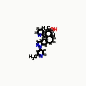 Cc1cc(-n2ncc3cc4c(cc32)CCC[C@H]2C[C@](C)(O)CC[C@@]42Cc2ccccn2)ccn1